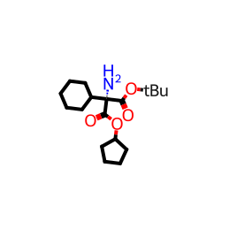 CC(C)(C)OC(=O)[C@@](N)(C(=O)OC1CCCC1)C1CCCCC1